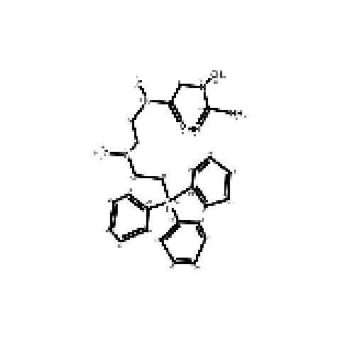 CN(CCN(C)C(=O)CN(C)C(=N)N)CC[PH](c1ccccc1)(c1ccccc1)c1ccccc1